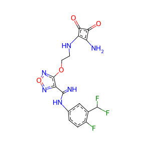 N=C(Nc1ccc(F)c(C(F)F)c1)c1nonc1OCCNc1c(N)c(=O)c1=O